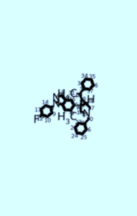 Cc1cc2c(cnn2-c2ccc(F)cc2)cc1[C@@]12CN(Cc3ccccc3)C[C@@H]1C2[C@H](C)c1ccccc1